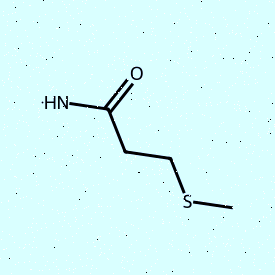 CSCCC([NH])=O